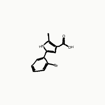 Cc1[nH]c(-c2ccccc2Br)cc1C(=O)O